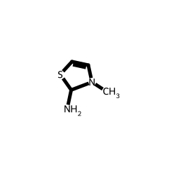 CN1C=CSC1N